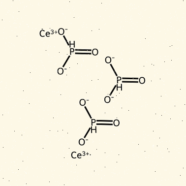 O=[PH]([O-])[O-].O=[PH]([O-])[O-].O=[PH]([O-])[O-].[Ce+3].[Ce+3]